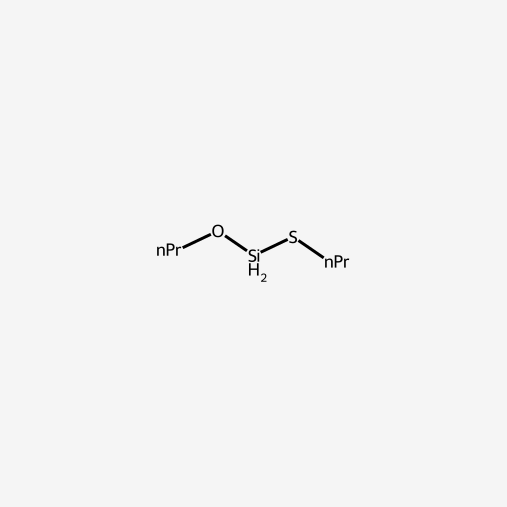 CCCO[SiH2]SCCC